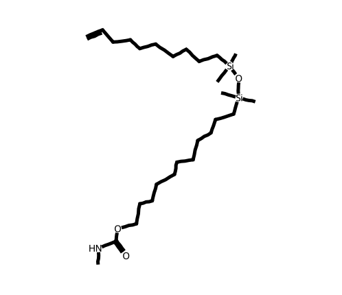 C=CCCCCCCCC[Si](C)(C)O[Si](C)(C)CCCCCCCCCCCOC(=O)NC